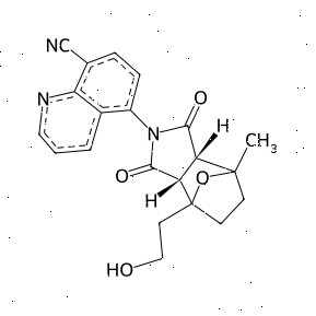 CC12CCC(CCO)(O1)[C@@H]1C(=O)N(c3ccc(C#N)c4ncccc34)C(=O)[C@@H]12